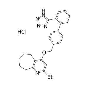 CCc1cc(OCc2ccc(-c3ccccc3-c3nnn[nH]3)cc2)c2c(n1)CCCCC2.Cl